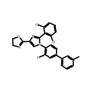 Cc1cccc(-c2ccc(-n3cc(C4=NCCO4)nc3-c3c(Cl)cccc3Cl)c(Cl)c2)c1